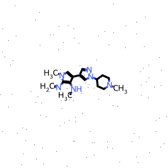 C=Nc1c(NC)c(-c2cnn(C3CCN(C)CC3)c2)cn1C